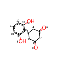 O=C1CCCC(=O)C1.Oc1cccc(O)c1